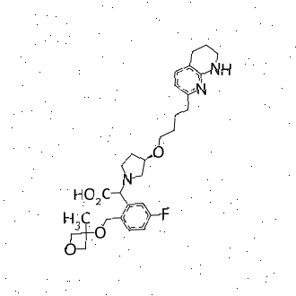 CC1(OCc2ccc(F)cc2C(C(=O)O)N2CC[C@@H](OCCCCc3ccc4c(n3)NCCC4)C2)COC1